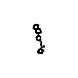 c1ccc(NCCN2CCC(c3ccc4ccccc4c3)C2)nc1